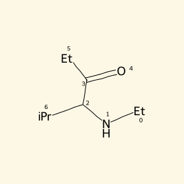 CCNC(C(=O)CC)C(C)C